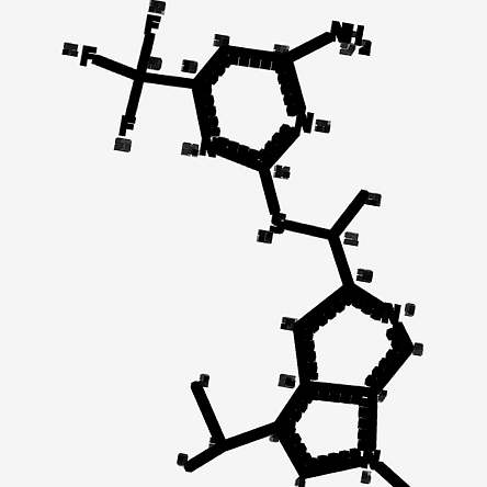 CC(C)c1cn(C)c2cnc(C(C)Sc3nc(N)cc(C(F)(F)F)n3)cc12